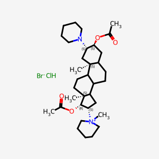 CC(=O)O[C@H]1CC2CCC3C(CC[C@@]4(C)C3C[C@H]([N+]3(C)CCCCC3)[C@@H]4OC(C)=O)[C@@]2(C)C[C@@H]1N1CCCCC1.Cl.[Br-]